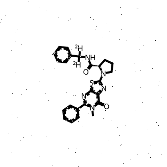 [2H]C([2H])(NC(=O)[C@H]1CCCN1c1nc2c(=O)n(C)c(-c3ccccc3)nc2s1)c1ccccc1